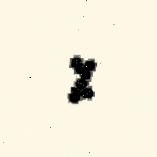 C1=CCCC(n2c(-c3ccc(-c4ccc5c6ccccc6n6c7ccccc7nc6c5c4)cc3)nc3ccccc32)=C1